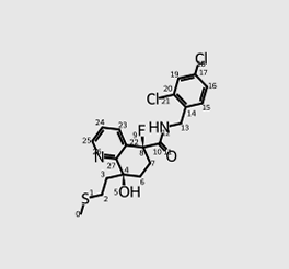 CSCC[C@@]1(O)CC[C@@](F)(C(=O)NCc2ccc(Cl)cc2Cl)c2cccnc21